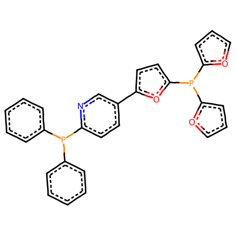 c1ccc(P(c2ccccc2)c2ccc(-c3ccc(P(c4ccco4)c4ccco4)o3)cn2)cc1